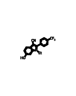 CCn1c(-c2ccc(C(F)(F)F)cc2)c(C#N)c2ccc(O)cc21